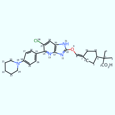 CC(C)(C(=O)O)C1CCC(=COc2nc3nc(-c4ccc(N5CCCCC5)cc4)c(Cl)cc3[nH]2)CC1